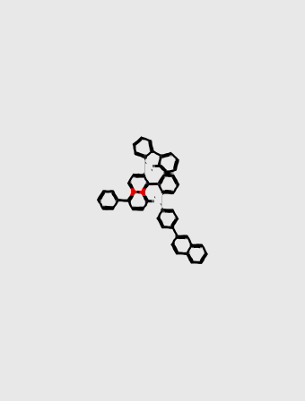 c1ccc(-c2ccc(N(c3ccc(-c4ccc5ccccc5c4)cc3)c3ccccc3-c3ccccc3-n3c4ccccc4c4ccccc43)cc2)cc1